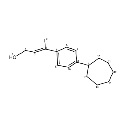 CC(=CCO)c1ccc(C2CCCCCC2)cc1